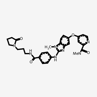 CNC(=O)c1cc(Oc2ccc3c(c2)nc(Nc2ccc(C(=O)NCCCN4CCCC4=O)cc2)n3C)ccn1